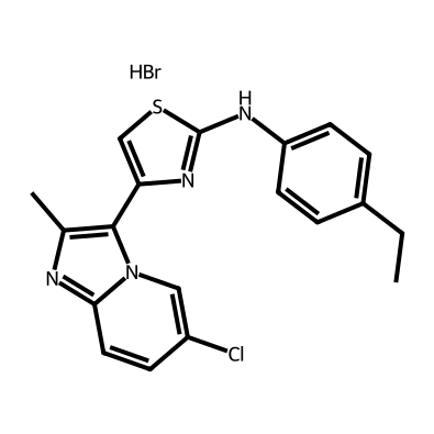 Br.CCc1ccc(Nc2nc(-c3c(C)nc4ccc(Cl)cn34)cs2)cc1